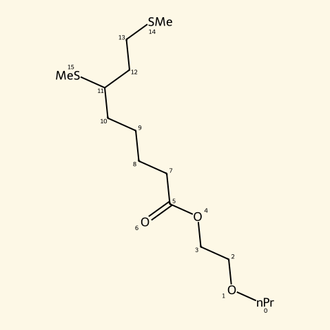 CCCOCCOC(=O)CCCCC(CCSC)SC